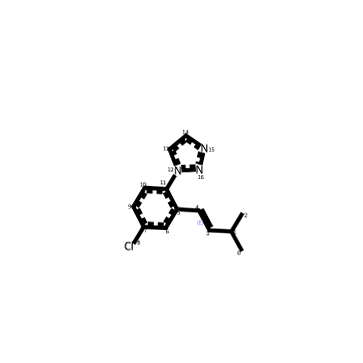 CC(C)/C=C/c1cc(Cl)ccc1-n1ccnn1